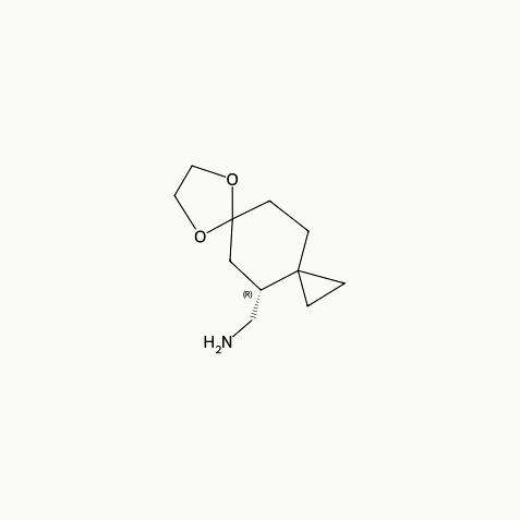 NC[C@@H]1CC2(CCC13CC3)OCCO2